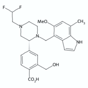 COc1cc(C)c2[nH]ccc2c1CN1CCN(CC(F)F)C[C@H]1c1ccc(C(=O)O)c(CO)c1